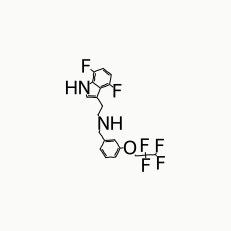 Fc1ccc(F)c2c(CCNCc3cccc(OCC(F)(F)C(F)F)c3)c[nH]c12